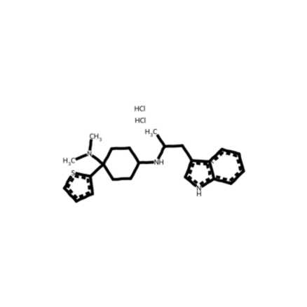 CC(Cc1c[nH]c2ccccc12)NC1CCC(c2cccs2)(N(C)C)CC1.Cl.Cl